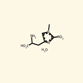 Cn1cc(CC(N)C(=O)O)nc1[N+](=O)[O-].O